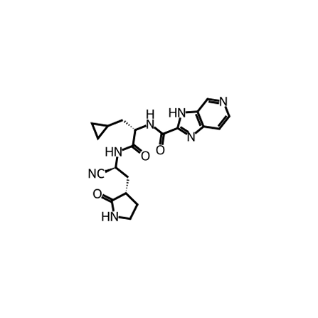 N#C[C@H](C[C@@H]1CCNC1=O)NC(=O)[C@H](CC1CC1)NC(=O)c1nc2ccncc2[nH]1